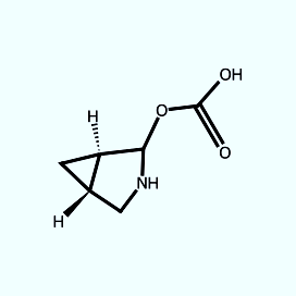 O=C(O)OC1NC[C@@H]2C[C@@H]12